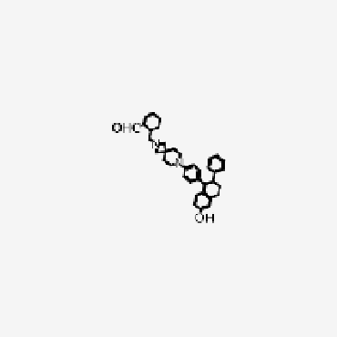 O=C[C@@H]1CCCC[C@H]1CN1CC2(CCN(c3ccc(C4c5ccc(O)cc5CCC4c4ccccc4)cc3)CC2)C1